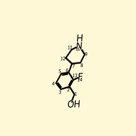 OCc1cccc(C2CCNCC2)c1F